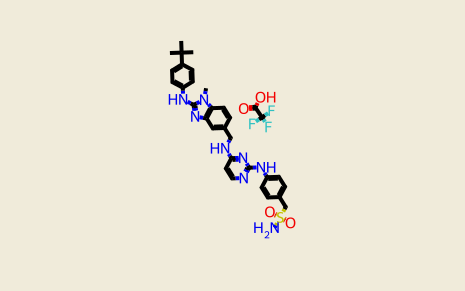 Cn1c(Nc2ccc(C(C)(C)C)cc2)nc2cc(CNc3ccnc(Nc4ccc(CS(N)(=O)=O)cc4)n3)ccc21.O=C(O)C(F)(F)F